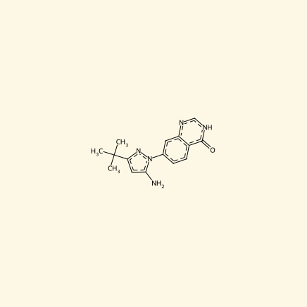 CC(C)(C)c1cc(N)n(-c2ccc3c(=O)[nH]cnc3c2)n1